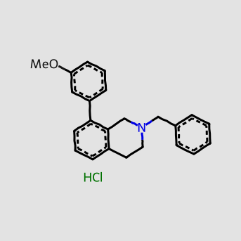 COc1cccc(-c2cccc3c2CN(Cc2ccccc2)CC3)c1.Cl